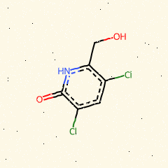 O=c1[nH]c(CO)c(Cl)cc1Cl